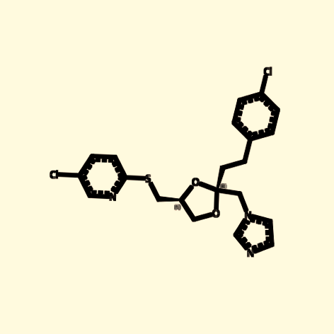 Clc1ccc(CC[C@@]2(Cn3ccnc3)OC[C@@H](CSc3ccc(Cl)cn3)O2)cc1